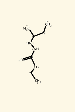 CCOC(=O)NNC(C)CC